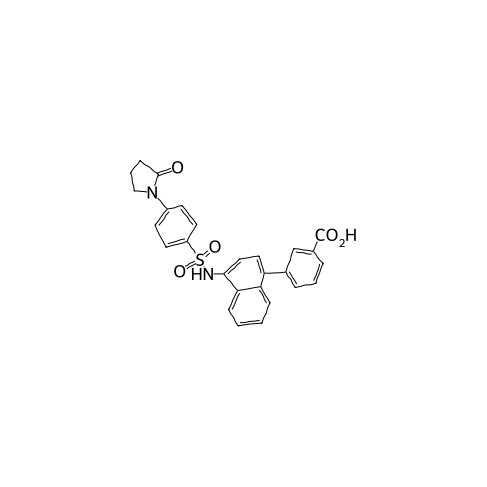 O=C(O)c1cccc(-c2ccc(NS(=O)(=O)c3ccc(N4CCCC4=O)cc3)c3ccccc23)c1